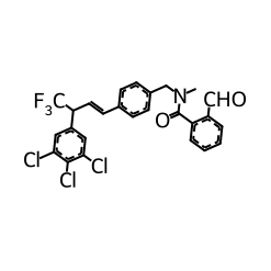 CN(Cc1ccc(/C=C/C(c2cc(Cl)c(Cl)c(Cl)c2)C(F)(F)F)cc1)C(=O)c1ccccc1C=O